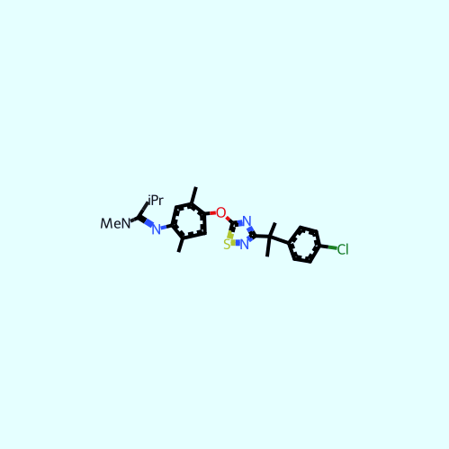 CNC(=Nc1cc(C)c(Oc2nc(C(C)(C)c3ccc(Cl)cc3)ns2)cc1C)C(C)C